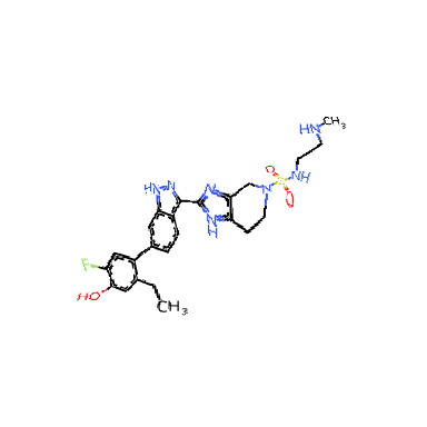 CCc1cc(O)c(F)cc1-c1ccc2c(-c3nc4c([nH]3)CCN(S(=O)(=O)NCCNC)C4)n[nH]c2c1